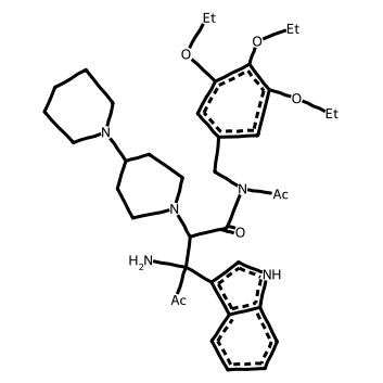 CCOc1cc(CN(C(C)=O)C(=O)C(N2CCC(N3CCCCC3)CC2)C(N)(C(C)=O)c2c[nH]c3ccccc23)cc(OCC)c1OCC